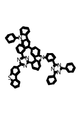 c1ccc(-c2nc(-c3ccccc3)nc(-c3cccc(-n4c5ccc(-c6ccc7c(c6)c6ccccc6n7-c6ccccc6)cc5c5c(-c6nc(-c7ccccc7)nc(-c7ccc8sc9ccccc9c8c7)n6)cccc54)c3)n2)cc1